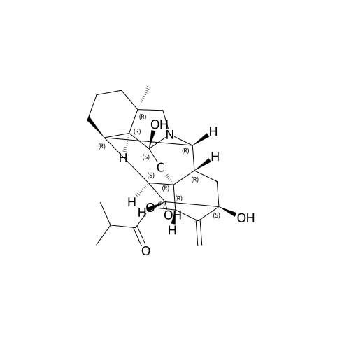 C=C1[C@H](OC(=O)C(C)C)[C@@]23C[C@]4(O)[C@@H]5[C@@]6(C)CCC[C@@]57[C@@H]2[C@@H](O)[C@]1(O)C[C@H]3[C@H]7N4C6